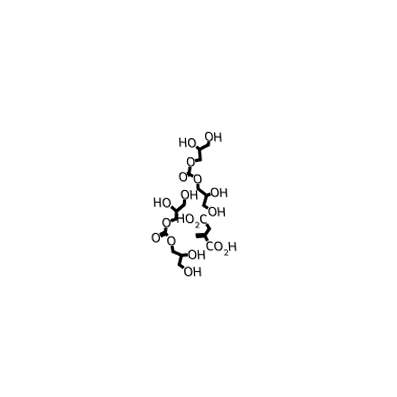 C=C(CC(=O)O)C(=O)O.O=C(OCC(O)CO)OCC(O)CO.O=C(OCC(O)CO)OCC(O)CO